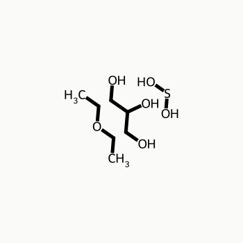 CCOCC.OCC(O)CO.OSO